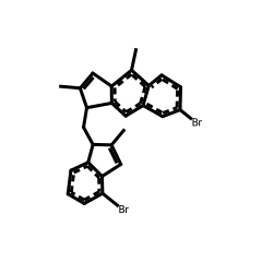 CC1=Cc2c(Br)cccc2C1CC1C(C)=Cc2c1cc1cc(Br)ccc1c2C